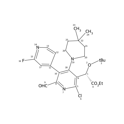 CCOC(=O)[C@@H](OC(C)(C)C)c1c(Cl)nc(C=O)c(-c2ccnc(F)c2)c1N1CCC(C)(C)CC1